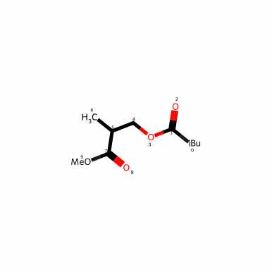 CCC(C)C(=O)OCC(C)C(=O)OC